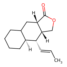 C/C=C/[C@H]1[C@H]2COC(=O)[C@H]2CC2CCCC[C@@H]21